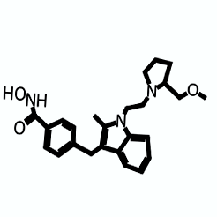 COCC1CCCN1CCn1c(C)c(Cc2ccc(C(=O)NO)cc2)c2ccccc21